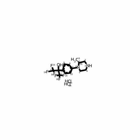 C[C@H]1CNCCN1c1ccc(C(O)(C(F)(F)F)C(F)(F)F)cc1.Cl.Cl